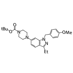 CCc1nn(Cc2ccc(OC)cc2)c2cc(N3CCN(C(=O)OC(C)(C)C)CC3)ccc12